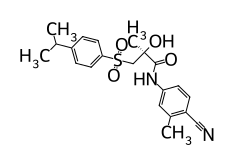 Cc1cc(NC(=O)[C@](C)(O)CS(=O)(=O)c2ccc(C(C)C)cc2)ccc1C#N